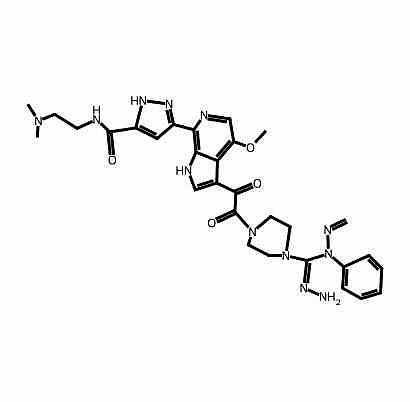 C=NN(/C(=N\N)N1CCN(C(=O)C(=O)c2c[nH]c3c(-c4cc(C(=O)NCCN(C)C)[nH]n4)ncc(OC)c23)CC1)c1ccccc1